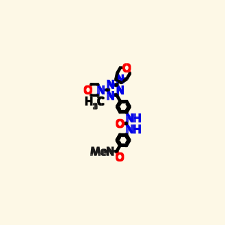 CNC(=O)c1ccc(NC(=O)Nc2ccc(-c3nc(N4C5CCC4COC5)nc(N4CCOC[C@H]4C)n3)cc2)cc1